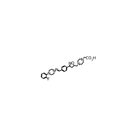 O=C(O)CN1CCN(CC2CC(c3ccc(C=NN4CCN(c5ccccc5F)CC4)cc3)=NO2)CC1